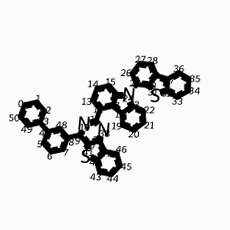 c1ccc(-c2cccc(-c3nc(-c4cccc5c4c4ccccc4n5-c4cccc5c4sc4ccccc45)nc4c3sc3ccccc34)c2)cc1